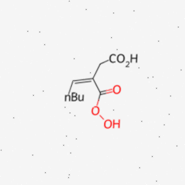 CCCCC=C(CC(=O)O)C(=O)OO